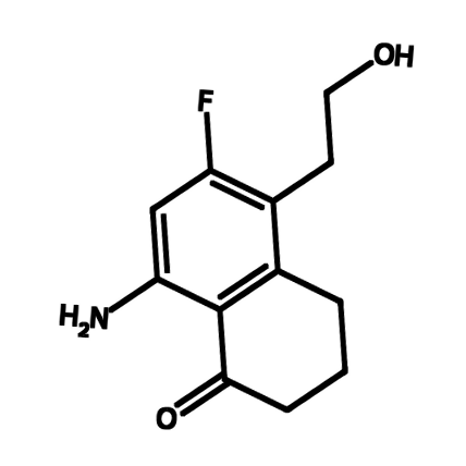 Nc1cc(F)c(CCO)c2c1C(=O)CCC2